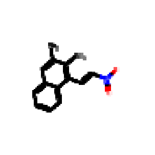 Cc1cc2ccccc2c(/C=C/[N+](=O)[O-])c1C